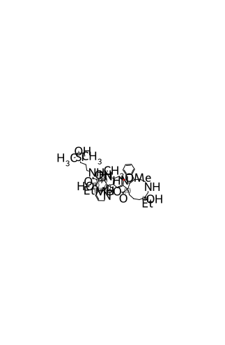 CC[C@]1(O)CCC[C@](C(=O)OC)(c2cc3c(cc2OC)N(C)[C@H]2[C@@](O)(C(=O)NCCC[Si](C)(C)O)[C@H](O)[C@]4(CC)C=CCN5CC[C@]32[C@@H]54)c2[nH]c3ccccc3c2CCNC1